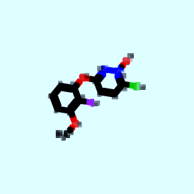 COc1cccc(Oc2ccc(Cl)[n+]([O-])n2)c1I